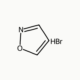 Br.c1cnoc1